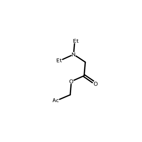 CCN(CC)CC(=O)OCC(C)=O